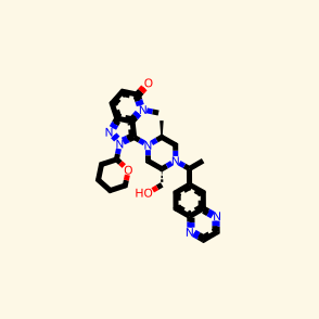 CC(c1ccc2nccnc2c1)N1C[C@H](C)N(c2c3c(ccc(=O)n3C)nn2C2CCCCO2)C[C@H]1CO